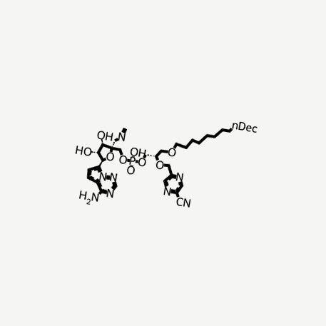 C=NC[C@]1(COP(=O)(O)OC[C@H](COCCCCCCCCCCCCCCCCCC)OCc2cnc(C#N)cn2)O[C@@H](c2ccc3c(N)ncnn23)[C@H](O)[C@@H]1O